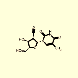 Cc1cn([C@@H]2O[C@H](CO)[C@@H](O)[C@H]2C#N)c(=O)[nH]c1=O